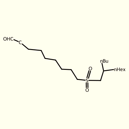 CCCCCCC(CCCC)CS(=O)(=O)CCCCCCCCC=O